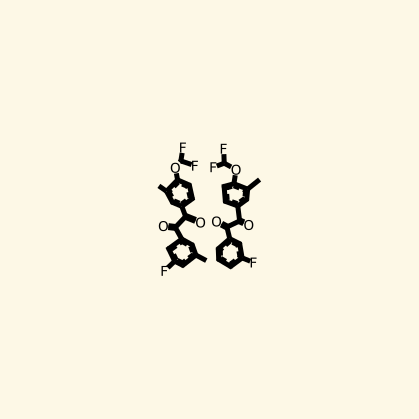 Cc1cc(C(=O)C(=O)c2cccc(F)c2)ccc1OC(F)F.Cc1cc(F)cc(C(=O)C(=O)c2ccc(OC(F)F)c(C)c2)c1